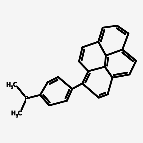 CP(C)c1ccc(-c2ccc3ccc4cccc5ccc2c3c45)cc1